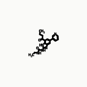 CCCC(=O)c1cc(-c2cccnc2)cc2nc(NC(=O)NCC)[nH]c12